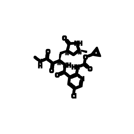 CNC(=O)C(=O)[C@H](C[C@@H]1C[C@@H](C)NC1=O)NC(=O)c1cc(Cl)cnc1NC(=O)OC1CC1